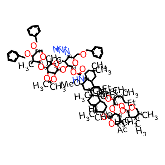 CCC1O[C@@H](OC2[C@H](O[C@H]3CCC4(C)C5CC=C6C7CC(C)(C)CC[C@]7(NC(=O)O[C@@H]7OC(COCc8ccccc8)[C@H](N=[N+]=[N-])C(C)C7O[C@@H]7OC(C)[C@H](O[C@@H]8OC[C@@H](OCc9ccccc9)C(OCc9ccccc9)C8C)C8OC(C)(C)OC87)C(OC)C[C@@]6(C)[C@@]5(C)CC[C@H]4[C@@]3(C)C=O)OC(C(C)=O)[C@@H](C)[C@@H]2O[C@@H]2OC[C@@H](C)[C@@H](C)C2C)C(O[Si](CC)(CC)CC)[C@@H](C)[C@@H]1C